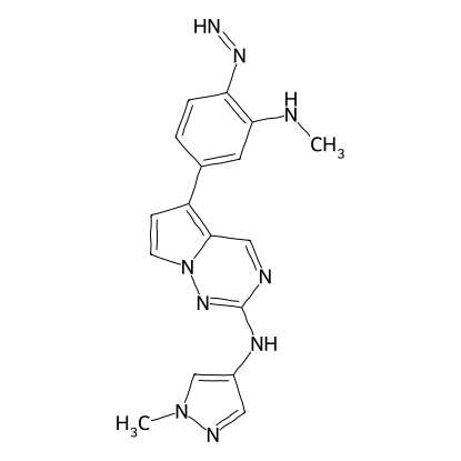 CNc1cc(-c2ccn3nc(Nc4cnn(C)c4)ncc23)ccc1N=N